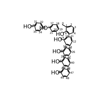 Cc1ccccc1O.Oc1ccccc1.Oc1ccccc1.Oc1ccccc1.Oc1ccccc1.Oc1ccccc1.Oc1ccccc1